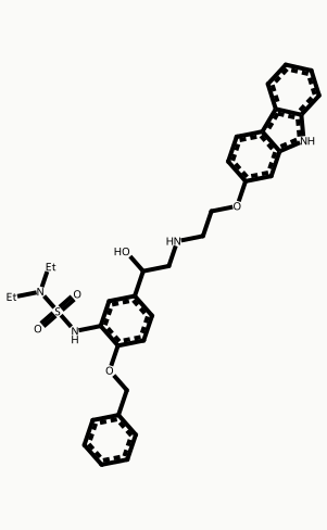 CCN(CC)S(=O)(=O)Nc1cc(C(O)CNCCOc2ccc3c(c2)[nH]c2ccccc23)ccc1OCc1ccccc1